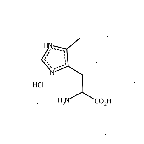 Cc1[nH]cnc1CC(N)C(=O)O.Cl